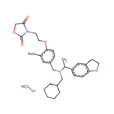 COc1cc(CN(CC2CCCCC2)C(C)c2ccc3c(c2)CCO3)ccc1OCCN1C(=O)COC1=O.O=C(O)O